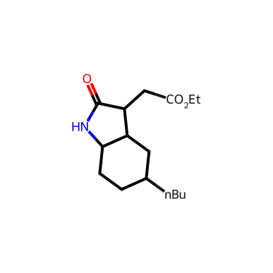 CCCCC1CCC2NC(=O)C(CC(=O)OCC)C2C1